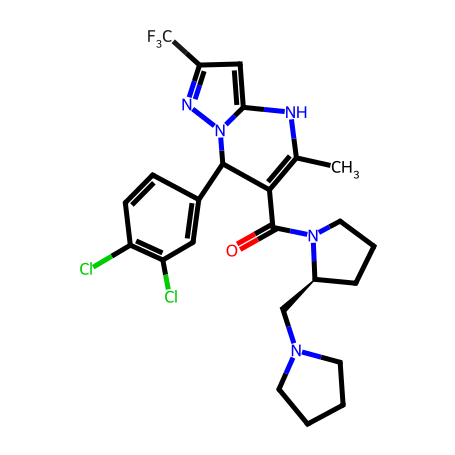 CC1=C(C(=O)N2CCC[C@H]2CN2CCCC2)C(c2ccc(Cl)c(Cl)c2)n2nc(C(F)(F)F)cc2N1